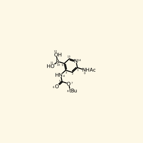 CC(=O)Nc1cc(NC(=O)OC(C)(C)C)c(B(O)O)cn1